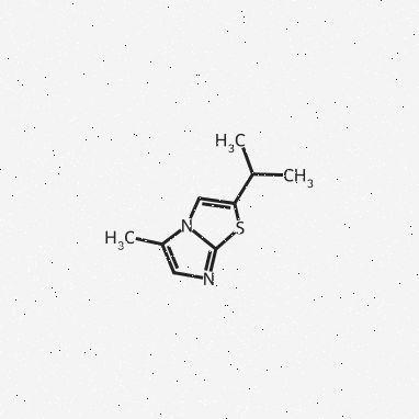 Cc1cnc2sc(C(C)C)cn12